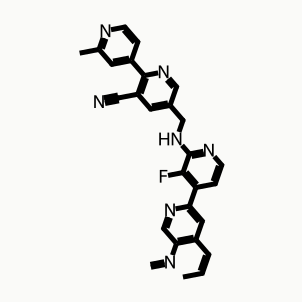 C=Nc1cnc(-c2ccnc(NCc3cnc(-c4ccnc(C)c4)c(C#N)c3)c2F)cc1/C=C\C